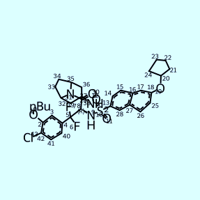 CCCCOc1cc(C(F)(F)[C@H](NS(=O)(=O)c2ccc3cc(OC4CCCC4)ccc3c2)C(=O)N2C3CCC2CC(N)C3)ccc1Cl